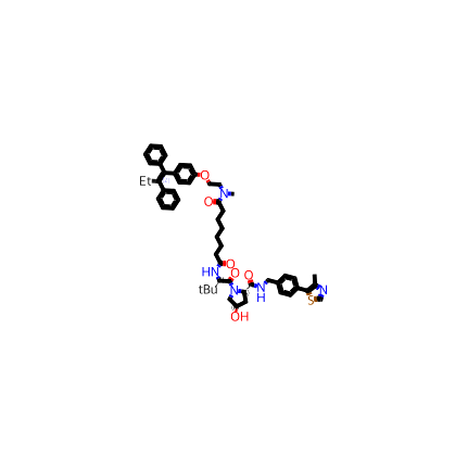 CC/C(=C(\c1ccccc1)c1ccc(OCCN(C)C(=O)CCCCCCC(=O)N[C@H](C(=O)N2C[C@H](O)C[C@H]2C(=O)NCc2ccc(-c3scnc3C)cc2)C(C)(C)C)cc1)c1ccccc1